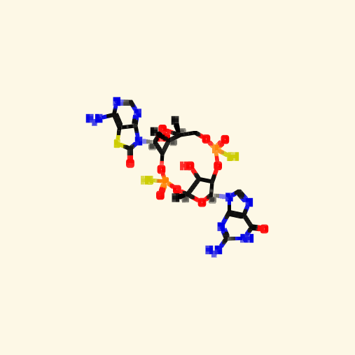 Nc1nc2c(ncn2[C@@H]2O[C@@H]3OP(=O)(S)OC4[C@H](n5c(=O)sc6c(N)ncnc65)O[C@H](COP(=O)(S)OC2C3O)[C@H]4O)c(=O)[nH]1